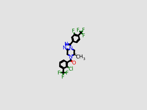 C[C@H]1Cn2c(nnc2-c2ccc(C(F)(F)F)c(F)c2)CN1C(=O)c1cccc(C(F)(F)F)c1Cl